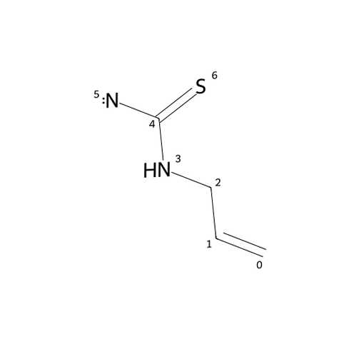 C=CCNC([N])=S